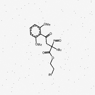 CCCCC(CC(=O)c1c(OC)cccc1OC)(P=O)C(=O)OCCC(C)C